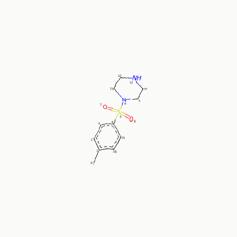 [CH2]c1ccc(S(=O)(=O)N2CCNCC2)cc1